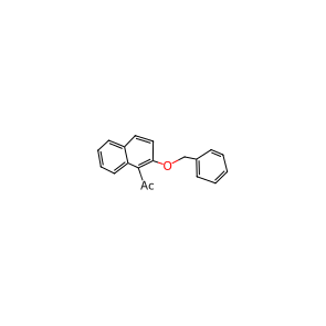 CC(=O)c1c(OCc2ccccc2)ccc2ccccc12